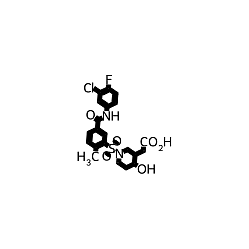 Cc1ccc(C(=O)Nc2ccc(F)c(Cl)c2)cc1S(=O)(=O)N1CCC(O)C(CC(=O)O)C1